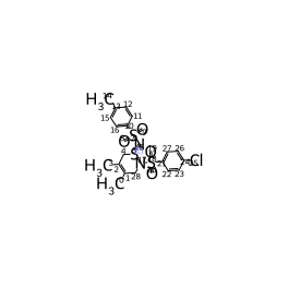 CC1=C(C)C/S(=N\S(=O)(=O)c2ccc(C)cc2)N(S(=O)(=O)c2ccc(Cl)cc2)C1